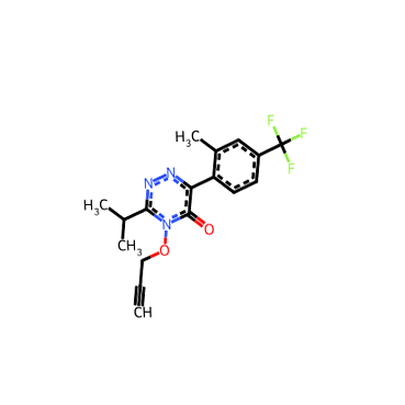 C#CCOn1c(C(C)C)nnc(-c2ccc(C(F)(F)F)cc2C)c1=O